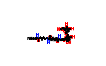 CCCCCCNC(=O)CCCCCNC(=O)CCCCC(=O)NCCO[C@H]1OC(CO[C@@H]2CC(O)[C@H](O)C(CO)O2)[C@@H](O)CC1O